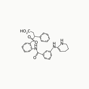 O=C(O)CC(c1ccccc1)S(=O)(=O)c1ccccc1NC(=O)c1cccc(NC2=CCCCN2)c1